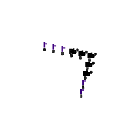 [I-].[I-].[I-].[I-].[I-].[Rb+].[Rb+].[Rb+].[Rb+].[Rb+]